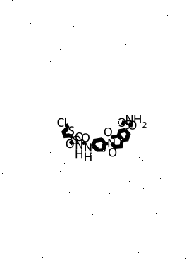 NS(=O)(=O)c1ccc2c(c1)C(=O)N(c1ccc(NC(=O)NS(=O)(=O)c3ccc(Cl)s3)cc1)C(=O)C2